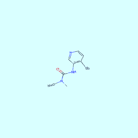 CON(C)C(=O)Nc1cnccc1C(C)(C)C